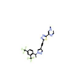 C=N/C=C(\N=C/C)c1nnc(C#Cc2cnn(C(C)c3ccc(C(F)(F)F)cc3C(F)(F)F)c2)s1